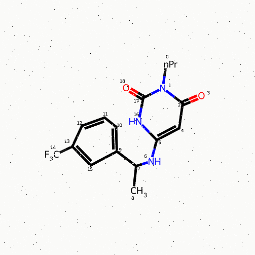 CCCn1c(=O)cc(NC(C)c2cccc(C(F)(F)F)c2)[nH]c1=O